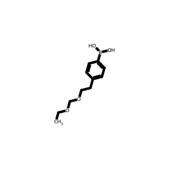 CCOCOCCc1ccc(B(O)O)cc1